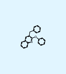 c1ccc(Cc2cc3ccccc3nc2Oc2ccccc2)cc1